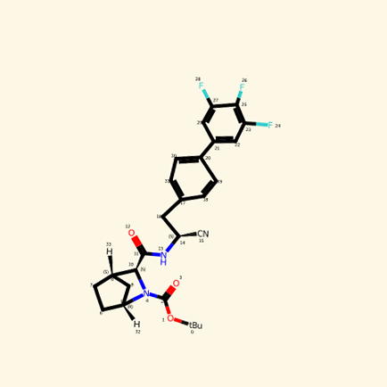 CC(C)(C)OC(=O)N1[C@@H]2CC[C@@H](C2)[C@H]1C(=O)N[C@H](C#N)Cc1ccc(-c2cc(F)c(F)c(F)c2)cc1